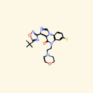 CC(C)(C)c1nc(-c2ncn3c2c(=O)n(CCN2CCOCC2)c2cc(F)ccc23)no1